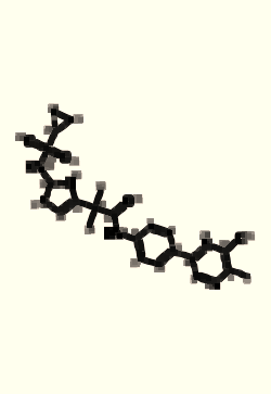 Cc1ncc(-c2ccc(NC(=O)C(C)(C)c3csc(NS(=O)(=O)C4CC4)n3)cc2)nc1Cl